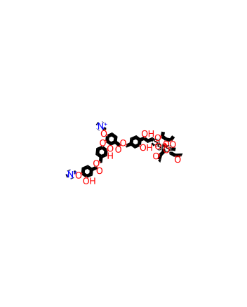 CC1O[Si](C)(CCC(O)C2CCC(COC(=O)C3CCC(OC[N+](C)(C)C)C(OC4CCC(COC(=O)C5CCC(OC[N+](C)(C)C)C(O)C5)CC4O)C3)CC2O)O[Si]2(CC3CO3)OC1C(C)O[Si](C)(CC1CO1)O2